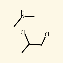 CC(Cl)CCl.CNC